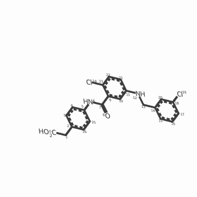 O=C(O)Cc1ccc(NC(=O)c2cc(NCc3cccc(Cl)c3)ccc2Cl)cc1